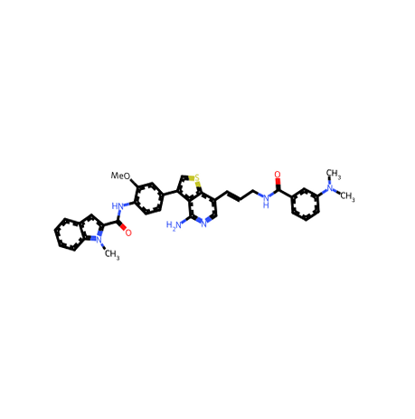 COc1cc(-c2csc3c(/C=C/CNC(=O)c4cccc(N(C)C)c4)cnc(N)c23)ccc1NC(=O)c1cc2ccccc2n1C